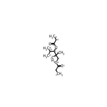 CCC(=O)OCC(C)(C)C(OC(=O)CC)C(C)C